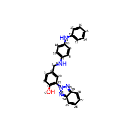 Oc1ccc(CNc2ccc(Nc3ccccc3)cc2)cc1-n1nc2ccccc2n1